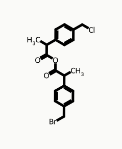 CC(C(=O)OC(=O)C(C)c1ccc(CBr)cc1)c1ccc(CCl)cc1